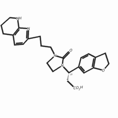 O=C(O)C[C@@H](c1ccc2c(c1)OCC2)N1CCN(CCCc2ccc3c(n2)NCCC3)C1=O